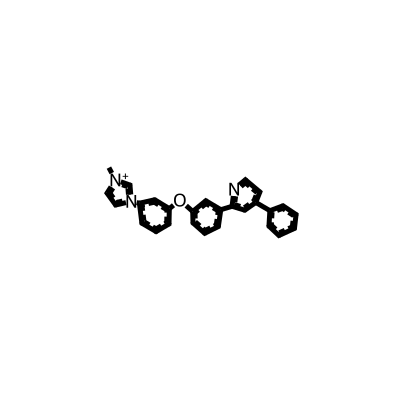 C[n+]1ccn(-c2cccc(Oc3cccc(-c4cc(-c5ccccc5)ccn4)c3)c2)c1